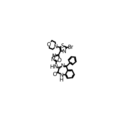 O=C1Nc2ccccc2C(c2ccccc2)=N[C@@H]1Nc1nnc(-c2nc(Br)sc2N2CCOCC2)o1